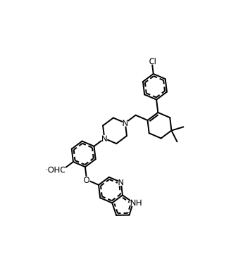 CC1(C)CCC(CN2CCN(c3ccc([C]=O)c(Oc4cnc5[nH]ccc5c4)c3)CC2)=C(c2ccc(Cl)cc2)C1